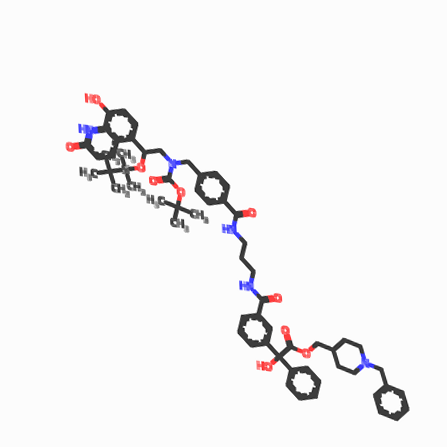 CC(C)(C)OC(=O)N(Cc1ccc(C(=O)NCCCNC(=O)c2cccc(C(O)(C(=O)OCC3CCN(Cc4ccccc4)CC3)c3ccccc3)c2)cc1)CC(O[Si](C)(C)C(C)(C)C)c1ccc(O)c2[nH]c(=O)ccc12